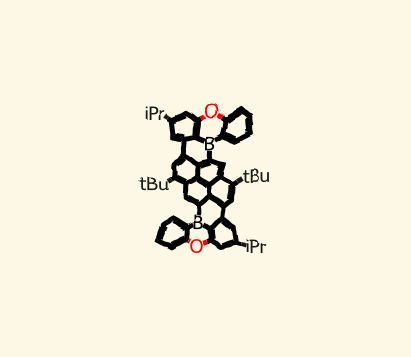 CC(C)c1cc2c3c(c1)-c1cc(C(C)(C)C)c4cc5c6c(cc(C(C)(C)C)c7cc(c1c4c76)B3c1ccccc1O2)-c1cc(C(C)C)cc2c1B5c1ccccc1O2